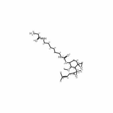 COC1C(OC(=O)NCCCCCCNC(=O)CN)CCC2(CO2)C1[C@]1(C)OC1CC=C(C)C